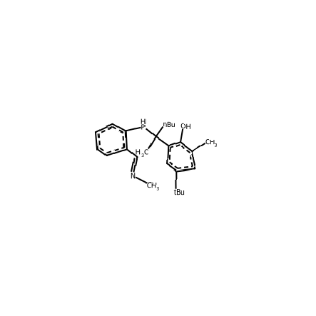 CCCCC(C)(Pc1ccccc1/C=N/C)c1cc(C(C)(C)C)cc(C)c1O